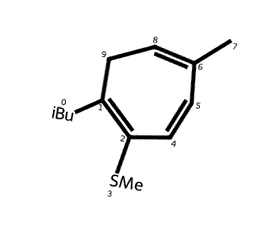 CCC(C)C1=C(SC)C=CC(C)=CC1